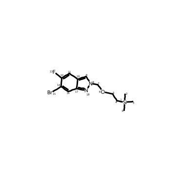 C[Si](C)(C)CCOCn1cc2cc(F)c(Br)cc2n1